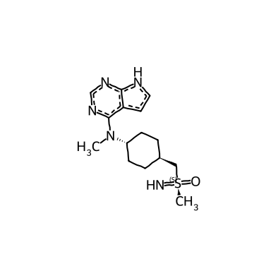 CN(c1ncnc2[nH]ccc12)[C@H]1CC[C@H](C[S@@](C)(=N)=O)CC1